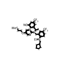 CCN(CC1CCCC1)c1ccc(C(F)(F)F)cc1CN(c1ncc(OCCSC)cn1)C(C)c1cc(C#N)cc(C(F)(F)F)c1